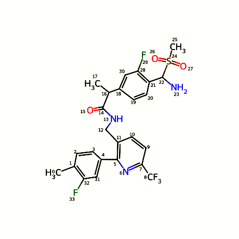 Cc1ccc(-c2nc(C(F)(F)F)ccc2CNC(=O)C(C)c2ccc(C(N)S(C)(=O)=O)c(F)c2)cc1F